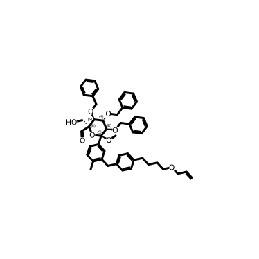 C=CCOCCCCc1ccc(Cc2cc([C@]3(OC)O[C@](C=O)(CO)[C@@H](OCc4ccccc4)[C@H](OCc4ccccc4)[C@H]3OCc3ccccc3)ccc2C)cc1